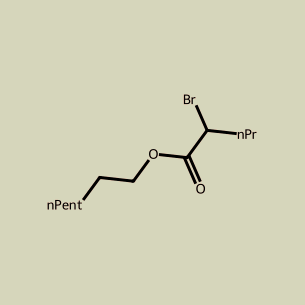 CCCCCCCOC(=O)C(Br)CCC